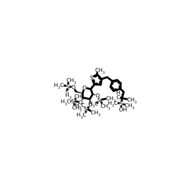 Cc1sc(C2O[C@H](CO[Si](C)(C)C)[C@@H](O[Si](C)(C)C)[C@H](O[Si](C)(C)C)[C@H]2O[Si](C)(C)C)cc1Cc1ccc(CC(C)(C)[Si](C)(C)O)cc1